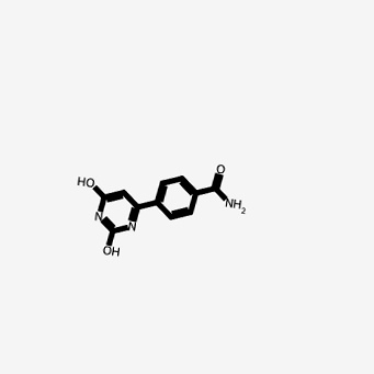 NC(=O)c1ccc(-c2cc(O)nc(O)n2)cc1